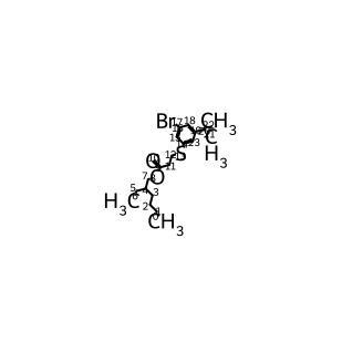 CCCCC(CC)COC(=O)CCSc1cc(Br)cc(C(C)C)c1